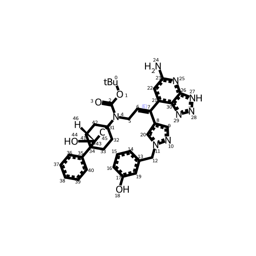 CC(C)(C)OC(=O)N(C/C=C(\c1cnn(Cc2cccc(O)c2)c1)c1cc(N)nc2[nH]nnc12)C12CCC(c3ccccc3)(CC1)[C@H](O)C2